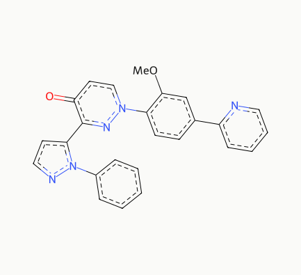 COc1cc(-c2ccccn2)ccc1-n1ccc(=O)c(-c2ccnn2-c2ccccc2)n1